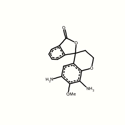 COc1c(N)cc2c(c1N)OCCC21OC(=O)c2ccccc21